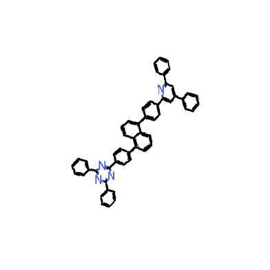 c1ccc(-c2cc(-c3ccccc3)nc(-c3ccc(-c4cccc5c(-c6ccc(-c7nc(-c8ccccc8)nc(-c8ccccc8)n7)cc6)cccc45)cc3)c2)cc1